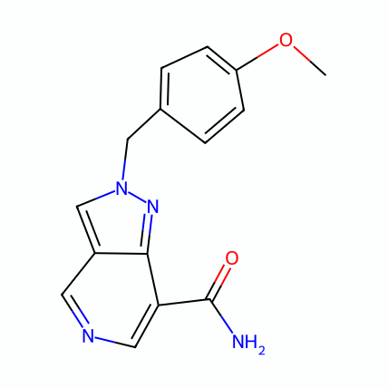 COc1ccc(Cn2cc3cncc(C(N)=O)c3n2)cc1